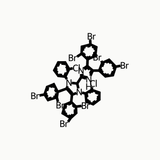 Clc1ccccc1N1C(c2ccc(Br)cc2Br)=C(c2ccc(Br)cc2Br)N(c2ccccc2Cl)C1c1nc(-c2ccc(Br)cc2Br)c(-c2ccc(Br)cc2Br)[nH]1